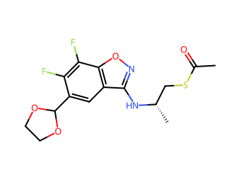 CC(=O)SC[C@H](C)Nc1noc2c(F)c(F)c(C3OCCO3)cc12